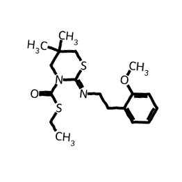 CCSC(=O)N1CC(C)(C)CS/C1=N\CCc1ccccc1OC